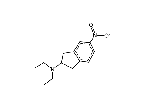 CCN(CC)C1Cc2ccc([N+](=O)[O-])cc2C1